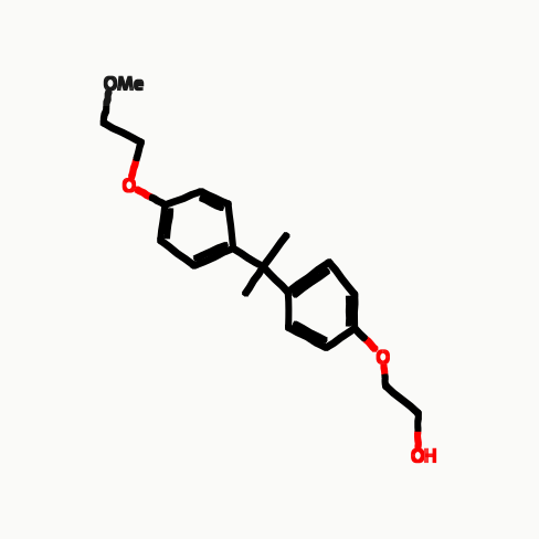 COCCOc1ccc(C(C)(C)c2ccc(OCCO)cc2)cc1